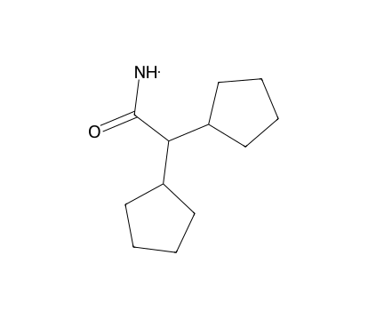 [NH]C(=O)C(C1CCCC1)C1CCCC1